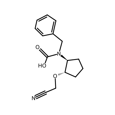 N#CCO[C@H]1CCC[C@@H]1N(Cc1ccccc1)C(=O)O